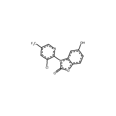 O=c1oc2ccc(O)cc2n1-c1ncc(C(F)(F)F)cc1Cl